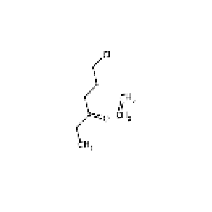 C=C.CCC(=O)CCCCl